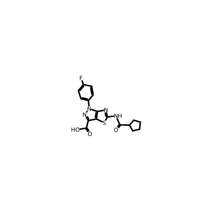 O=C(O)c1nn(-c2ccc(F)cc2)c2nc(NC(=O)C3CCCC3)sc12